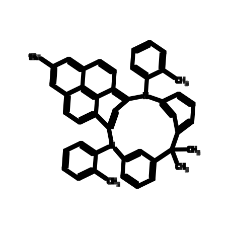 Cc1ccccc1N1c2cccc(c2)C(C)(C)c2cccc(c2)N(c2ccccc2C)c2cc1c1ccc3cc(C(C)(C)C)cc4ccc2c1c34